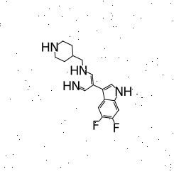 N=C/C(=C\NCC1CCNCC1)c1c[nH]c2cc(F)c(F)cc12